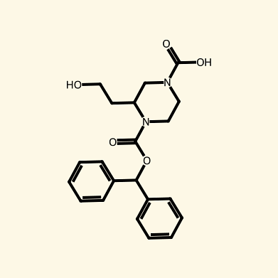 O=C(O)N1CCN(C(=O)OC(c2ccccc2)c2ccccc2)C(CCO)C1